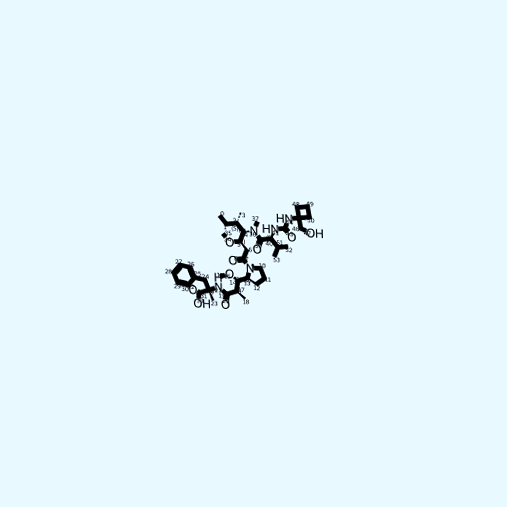 CC[C@H](C)[C@@H]([C@@H](CC(=O)N1CCC[C@H]1[C@H](OC)[C@@H](C)C(=O)N[C@@](C)(Cc1ccccc1)C(=O)O)OC)N(C)C(=O)[C@@H](NC(=O)NC1(CO)CCC1)C(C)C